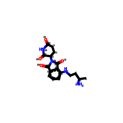 CC(N)CCNc1cccc2c1C(=O)N(C1CCC(=O)NC1=O)C2=O